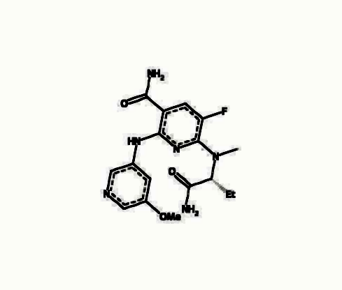 CC[C@H](C(N)=O)N(C)c1nc(Nc2cncc(OC)c2)c(C(N)=O)cc1F